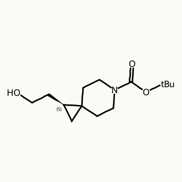 CC(C)(C)OC(=O)N1CCC2(CC1)C[C@H]2CCO